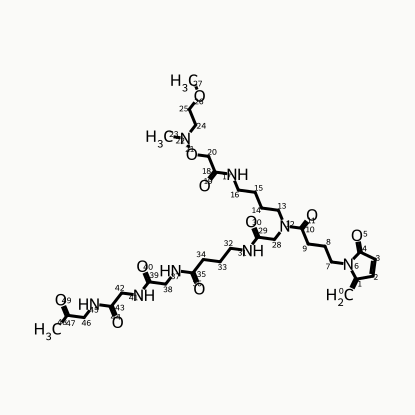 C=C1C=CC(=O)N1CCCC(=O)N(CCCCNC(=O)CON(C)CCOC)CC(=O)NCCCC(=O)NCC(=O)NCC(=O)NCC(C)=O